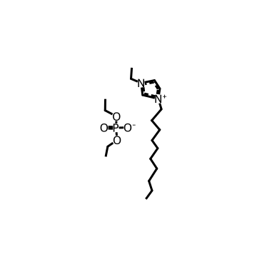 CCCCCCCCCC[n+]1ccn(CC)c1.CCOP(=O)([O-])OCC